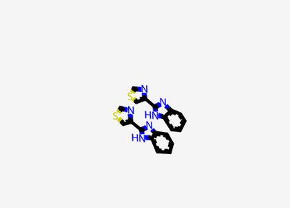 c1ccc2[nH]c(-c3cscn3)nc2c1.c1ccc2[nH]c(-c3cscn3)nc2c1